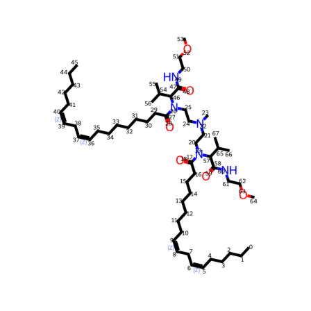 CCCCC/C=C\C/C=C\CCCCCCCC(=O)N(CCN(C)CCN(C(=O)CCCCCCC/C=C\C/C=C\CCCCC)C(C(=O)NCCOC)C(C)C)C(C(=O)NCCOC)C(C)C